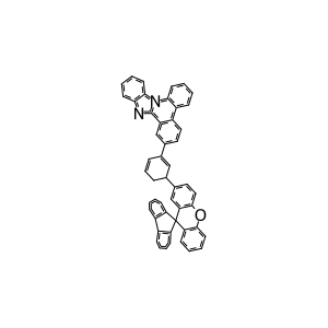 C1=CC(c2ccc3c4ccccc4n4c5ccccc5nc4c3c2)=CC(c2ccc3c(c2)C2(c4ccccc4O3)c3ccccc3-c3ccccc32)C1